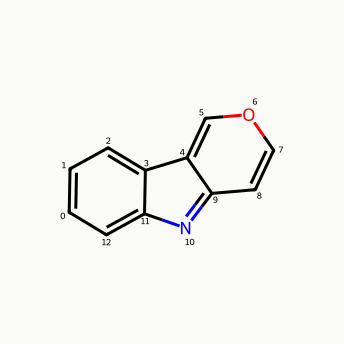 c1ccc2c3coccc-3nc2c1